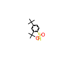 CC(C)(C)c1ccc([SH](=O)=O)c(C(C)(C)C)c1